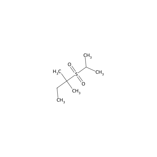 CCC(C)(C)S(=O)(=O)C(C)C